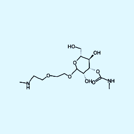 CNCCOCCOC1O[C@H](CO)[C@@H](O)[C@H](OC(=O)NC)[C@@H]1O